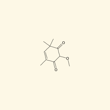 COC1C(=O)C(C)=CC(C)(C)C1=O